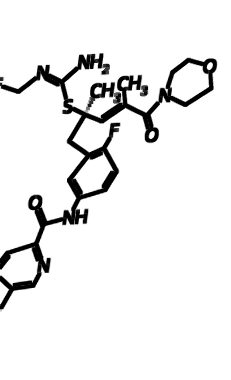 C/C(=C\[C@@](C)(Cc1cc(NC(=O)c2ccc(Cl)cn2)ccc1F)S/C(N)=N\CF)C(=O)N1CCOCC1